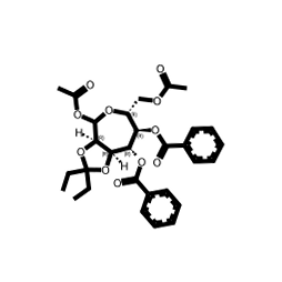 CCC1(CC)O[C@@H]2[C@@H](OC(=O)c3ccccc3)[C@H](OC(=O)c3ccccc3)[C@@H](COC(C)=O)OC(OC(C)=O)[C@@H]2O1